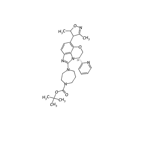 CC1=NOC(C)C1c1ccc2nc(N3CCCN(C(=O)OC(C)(C)C)CC3)n3c2c1OC[C@@H]3c1ccccn1